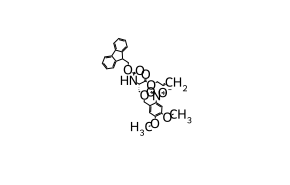 C=CCOC(=O)[C@H](COCc1cc(OC)c(OC)cc1[N+](=O)[O-])NC(=O)OCC1c2ccccc2-c2ccccc21